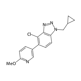 COc1ccc(-c2ccc3c(nnn3CC3CC3)c2Cl)cn1